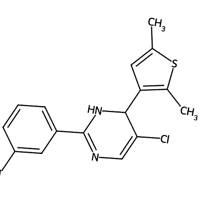 Cc1cc(C2NC(c3cccc(Cl)c3)=NC=C2Cl)c(C)s1